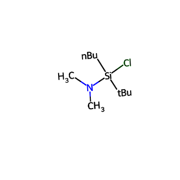 CCCC[Si](Cl)(N(C)C)C(C)(C)C